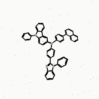 c1ccc(-n2c(-c3ccc(N(c4ccc(-c5cccc6ccccc56)cc4)c4ccc5c(c4)c4ccccc4n5-c4ccccc4)cc3)nc3ccccc32)cc1